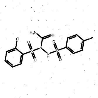 Cc1ccc(S(=O)(=O)NN(C(=N)N)S(=O)(=O)c2ccccc2Cl)cc1